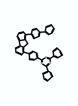 c1ccc(-c2ccc(-c3cccc4c3Cc3c(-c5ccc(-c6nc(-c7ccccc7)nc(-c7ccccc7)n6)cc5)cccc3-4)cc2)cc1